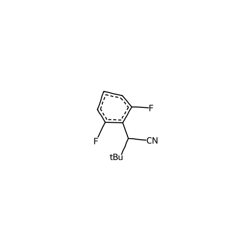 CC(C)(C)C(C#N)c1c(F)cccc1F